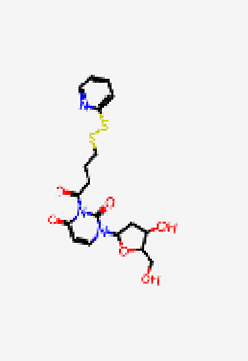 O=C(CCCSSc1ccccn1)n1c(=O)ccn(C2CC(O)C(CO)O2)c1=O